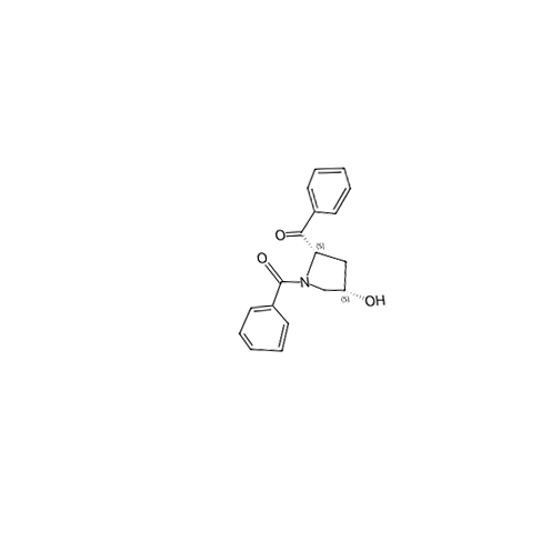 O=C(c1ccccc1)[C@@H]1C[C@H](O)CN1C(=O)c1ccccc1